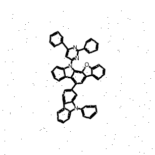 c1ccc(-c2cc(-n3c4ccccc4c4c(-c5ccc6c7ccccc7n(-c7ccccc7)c6c5)cc5c6ccccc6oc5c43)nc(-c3ccccc3)n2)cc1